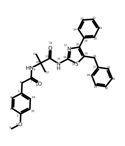 COc1ccc(CC(=O)NC(C)(C)C(=O)Nc2nc(-c3ccccc3)c(Cc3ccccc3)s2)cc1